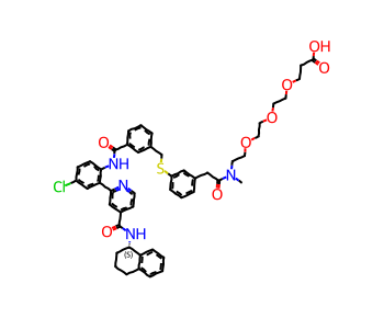 CN(CCOCCOCCOCCC(=O)O)C(=O)Cc1cccc(SCc2cccc(C(=O)Nc3ccc(Cl)cc3-c3cc(C(=O)N[C@H]4CCCc5ccccc54)ccn3)c2)c1